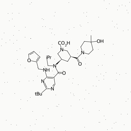 CC(C)CN(C(=O)c1cnc(C(C)(C)C)nc1NCc1ccco1)[C@@H]1C[C@H](C(=O)N2CCC(C)(O)CC2)CN(C(=O)O)C1